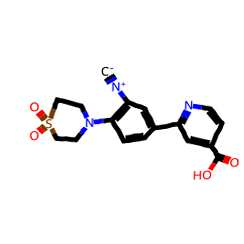 [C-]#[N+]c1cc(-c2cc(C(=O)O)ccn2)ccc1N1CCS(=O)(=O)CC1